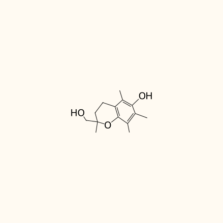 Cc1c(C)c2c(c(C)c1O)CCC(C)(CO)O2